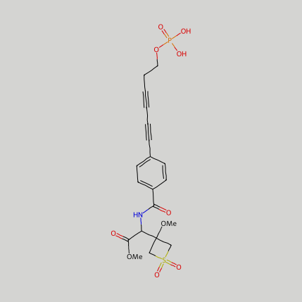 COC(=O)C(NC(=O)c1ccc(C#CC#CCCOP(=O)(O)O)cc1)C1(OC)CS(=O)(=O)C1